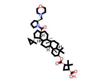 CC1([C@@H]2CC[C@]3(C(=O)N4CCC[C@H]4CN4CCOCC4)CC[C@]4(C)[C@H](CC[C@@H]5[C@@]6(C)CC[C@H](OC(=O)[C@H]7C[C@@H](C(=O)O)C7(C)C)C(C)(C)[C@@H]6CC[C@]54C)[C@@H]23)CC1